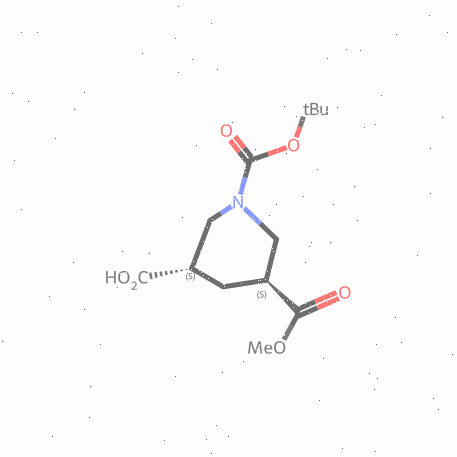 COC(=O)[C@H]1C[C@H](C(=O)O)CN(C(=O)OC(C)(C)C)C1